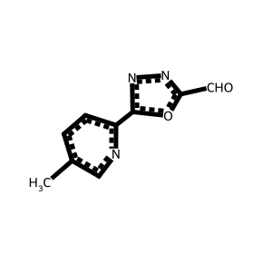 Cc1ccc(-c2nnc(C=O)o2)nc1